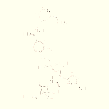 COC[C@H]1C[C@H](CNC(=N)c2ccc3c(c2)CC[C@H]([C@](C)(O/N=C(\C(=O)N[C@@H]2C(=O)N(OS(=O)(=O)O)C2(C)C)c2csc(N)n2)C(=O)O)O3)CCN1